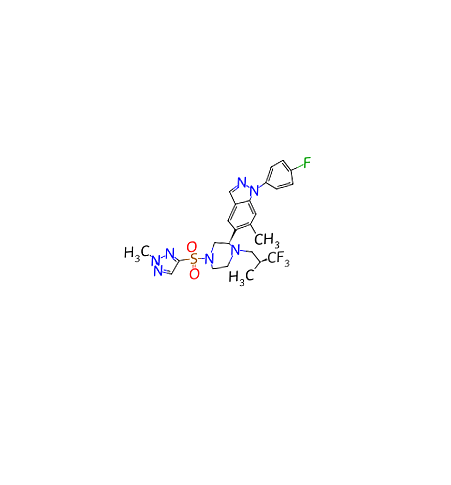 Cc1cc2c(cnn2-c2ccc(F)cc2)cc1[C@@H]1CN(S(=O)(=O)c2cnn(C)n2)CCN1C[C@H](C)C(F)(F)F